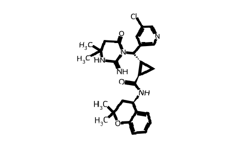 CC1(C)CC(=O)N(C(c2cncc(Cl)c2)[C@@H]2C[C@H]2C(=O)N[C@@H]2CC(C)(C)Oc3ccccc32)C(=N)N1